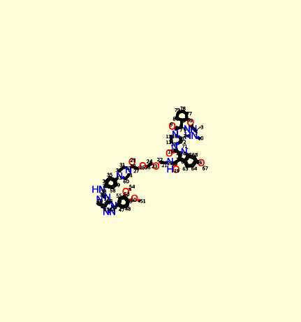 CN[C@@H](C)C(=O)N[C@H](C(=O)N1CCN(C(=O)c2c(C(=O)NCCOCCOCC(=O)N3CCN(c4ccc(Nc5ncc6nnn(-c7ccc(OC)c(OC)c7)c6n5)cc4)CC3)c3ccc(OC)cc3n2C)C[C@H]1C)C1CCCCC1